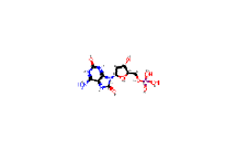 NC1=NC(=O)N=C2C1=NC(=O)N2[C@H]1C[C@H](O)[C@@H](COP(=O)(O)O)O1